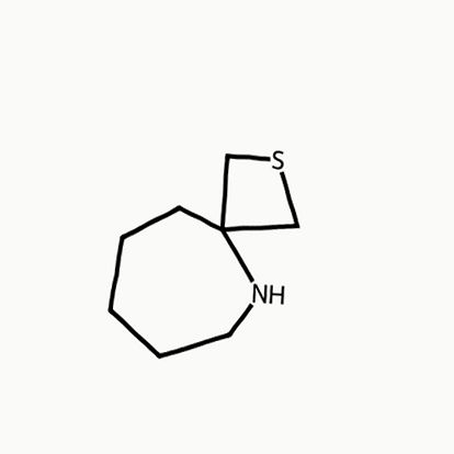 C1CCNC2(CC1)CSC2